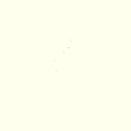 CC#C[C@@H](CC(=O)OC)c1ccc(OCc2ccc3c(c2)-c2c(C)cc(OCCOCC)cc2CC3)cc1